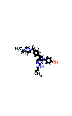 CCCCNc1ncc2c(-c3ccc(C(C)N4CCN(C(C)C)CC4)cc3)cn([C@H]3CC[C@H](O)CC3)c2n1